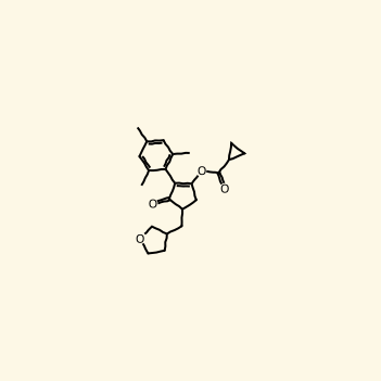 Cc1cc(C)c(C2=C(OC(=O)C3CC3)CC(CC3CCOC3)C2=O)c(C)c1